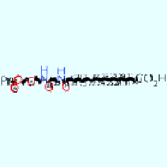 CC(C)C(=O)OCCOCCNC(=O)CCNC(=O)CCCCCCCCCCCCCCCCC(=O)O